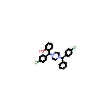 Oc1ccccc1C(c1ccc(Cl)cc1)N1CCN(C(c2ccccc2)c2ccc(Cl)cc2)CC1